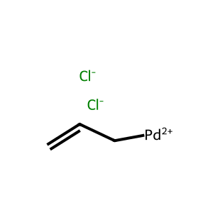 C=C[CH2][Pd+2].[Cl-].[Cl-]